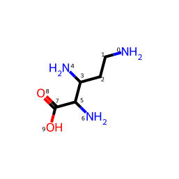 NCCC(N)C(N)C(=O)O